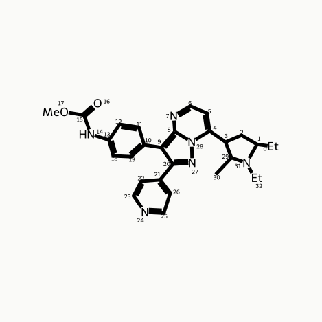 CCC1CC(c2ccnc3c(-c4ccc(NC(=O)OC)cc4)c(-c4ccncc4)nn23)C(C)N1CC